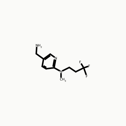 CN(CCC(F)(F)F)c1ccc(CN)cn1